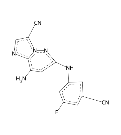 N#Cc1cc(F)cc(Nc2cc(N)c3ncc(C#N)n3n2)c1